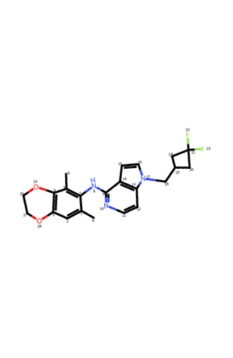 Cc1cc2c(c(C)c1Nc1nccc3c1ccn3CC1CC(F)(F)C1)OCCO2